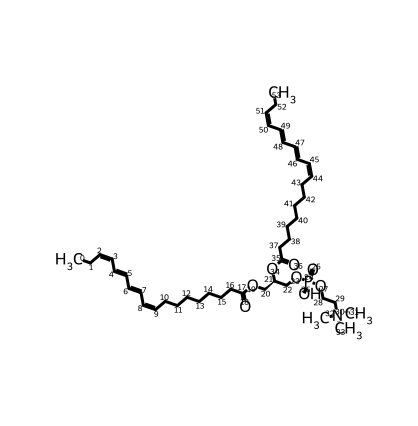 CC\C=C/C=C/C=C/C=C\CCCCCCCC(=O)OC[C@H](COP(=O)(O)OCC[N+](C)(C)C)OC(=O)CCCCCCC\C=C/C=C/C=C/C=C\CC